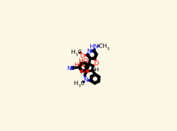 CNc1cc2c(c(OC)n1)[C@]1(O)[C@H](O)[C@@H]3CN(C)c4cccc(c4)[C@H]3[C@]1(c1ccc(C#N)cc1)O2